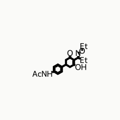 CCON=C(CC)C1=C(O)CC(c2ccc(NC(C)=O)cc2)CC1=O